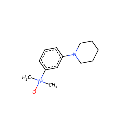 C[N+](C)([O-])c1cccc(N2CCCCC2)c1